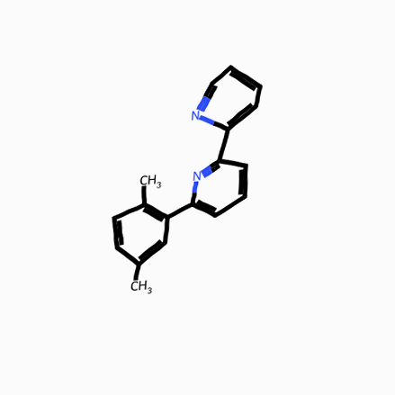 Cc1ccc(C)c(-c2cccc(-c3ccccn3)n2)c1